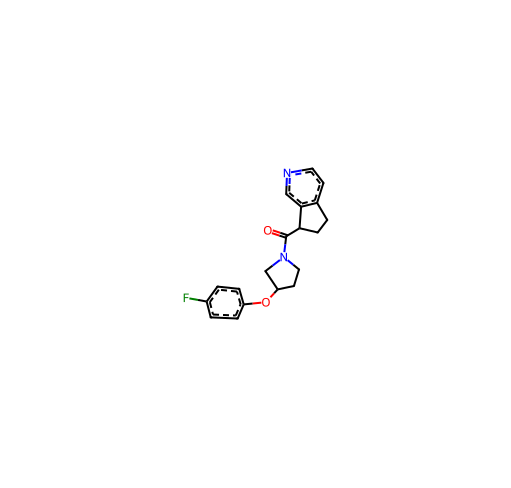 O=C(C1CCc2ccncc21)N1CCC(Oc2ccc(F)cc2)C1